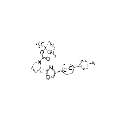 CC(C)(C)OC(=O)N1CCC[C@H]1c1nc(C23CCC(c4ccc(Br)cc4)(CC2)CC3)co1